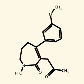 COc1cccc(C2=C(CC(C)=O)C(=O)N(C)CCC2)c1